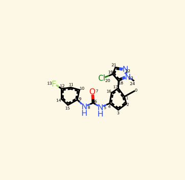 Cc1ccc(NC(=O)Nc2ccc(F)cc2)cc1-c1c(Cl)cnn1C